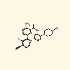 C=C(Nc1ncccc1N1CCC(N)CC1)c1nc(-c2nccc(C#N)c2F)cnc1N